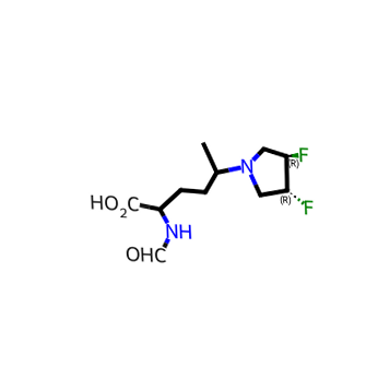 CC(CCC(NC=O)C(=O)O)N1C[C@@H](F)[C@H](F)C1